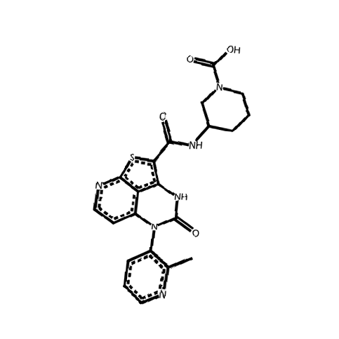 Cc1ncccc1N1C(=O)Nc2c(C(=O)NC3CCCN(C(=O)O)C3)sc3nccc1c23